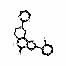 O=c1[nH]c2c(c3nc(-c4ccccc4F)cn13)CN(c1ncccn1)CC2